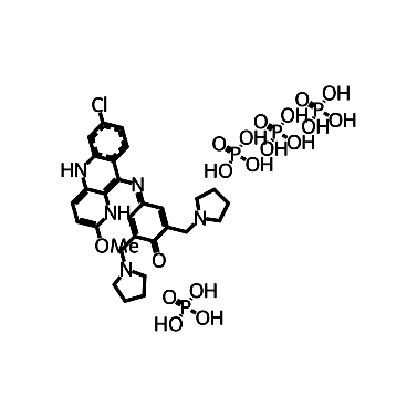 COC1=CC=C2Nc3cc(Cl)ccc3C(N=C3C=C(CN4CCCC4)C(=O)C(CN4CCCC4)=C3)=C2N1.O=P(O)(O)O.O=P(O)(O)O.O=P(O)(O)O.O=P(O)(O)O